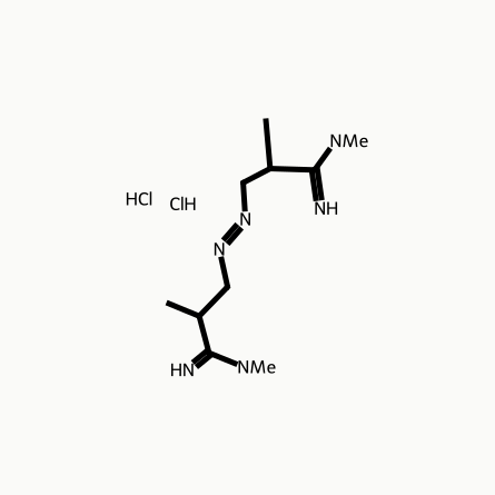 CNC(=N)C(C)CN=NCC(C)C(=N)NC.Cl.Cl